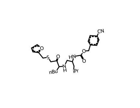 CCCCC(NCC(CC(C)C)NC(=O)OCc1ccc(C#N)cc1)C(=O)CSCc1ccco1